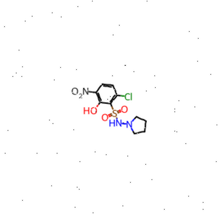 O=[N+]([O-])c1ccc(Cl)c(S(=O)(=O)NN2CCCC2)c1O